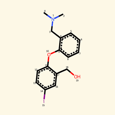 CN(C)Cc1ccccc1Oc1ccc(I)cc1CO